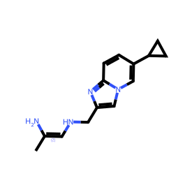 C/C(N)=C/NCc1cn2cc(C3CC3)ccc2n1